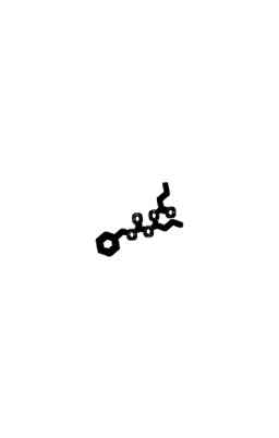 CCCC(=O)OC(CCC)OC(=O)OCc1ccccc1